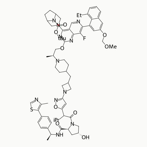 CCc1cccc2cc(OCOC)cc(-c3ncc4c(N5CC6CCC(C5)N6C(=O)OC(C)(C)C)nc(OC[C@H](C)N5CCC(CC6CN(c7cc(C(C(=O)N8C[C@H](O)C[C@H]8C(=O)N[C@@H](C)c8ccc(-c9scnc9C)cc8)C(C)C)on7)C6)CC5)nc4c3F)c12